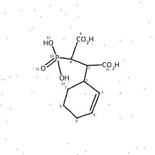 O=C(O)C(C1C=CCCC1)C(C(=O)O)P(=O)(O)O